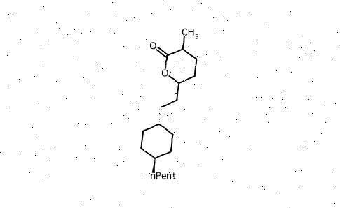 CCCCC[C@H]1CC[C@H](CCC2CCC(C)C(=O)O2)CC1